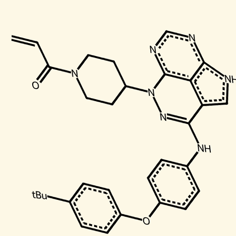 C=CC(=O)N1CCC(N2N=C(Nc3ccc(Oc4ccc(C(C)(C)C)cc4)cc3)c3c[nH]c4ncnc2c34)CC1